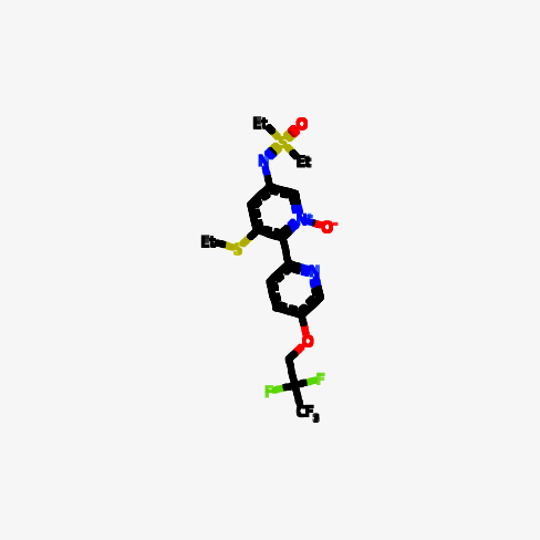 CCSc1cc(N=S(=O)(CC)CC)c[n+]([O-])c1-c1ccc(OCC(F)(F)C(F)(F)F)cn1